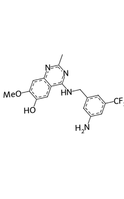 COc1cc2nc(C)nc(NCc3cc(N)cc(C(F)(F)F)c3)c2cc1O